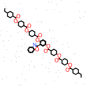 CCC1CCC(C(=O)OC2CCC(C(=O)OC3CCC(C(=O)Oc4ccc(OC(=O)C5CCC(OC(=O)C6CCC(OC(=O)C7CCC(CC)CC7)CC6)CC5)c(-c5nc6ccccc6o5)c4)CC3)CC2)CC1